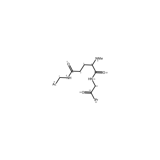 CNC(CCC(=O)NCC(C)=O)C(=O)NCC(=O)C(C)C